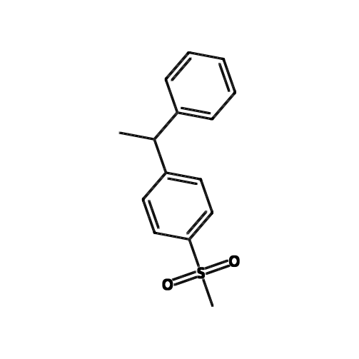 CC(c1ccccc1)c1ccc(S(C)(=O)=O)cc1